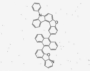 c1ccc(-n2c3ccccc3c3c4c(ccc32)oc2ccc(-c3c5ccccc5c(-c5cccc6c5oc5ncccc56)c5ccccc35)cc24)cc1